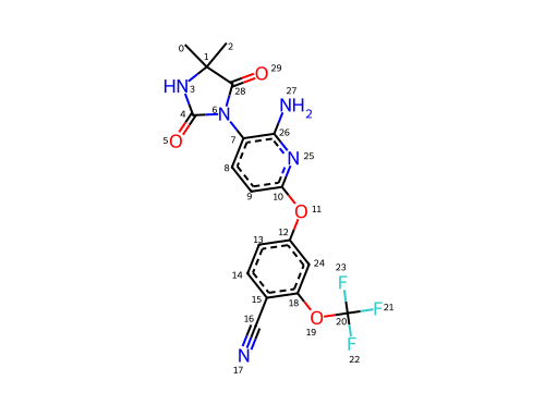 CC1(C)NC(=O)N(c2ccc(Oc3ccc(C#N)c(OC(F)(F)F)c3)nc2N)C1=O